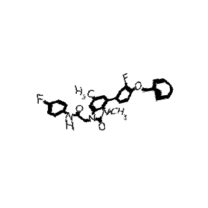 Cc1cc(-c2ccc(OCc3ccccc3)c(F)c2)c2c(c1)n(CC(=O)Nc1ccc(F)cc1)c(=O)n2C